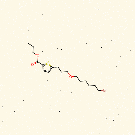 CCCOC(=O)c1ccc(CCCOCCCCCCBr)s1